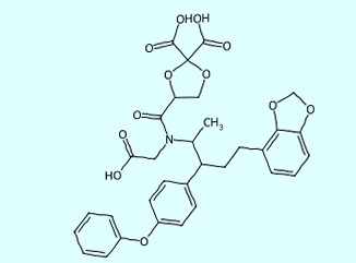 CC(C(CCc1cccc2c1OCO2)c1ccc(Oc2ccccc2)cc1)N(CC(=O)O)C(=O)C1COC(C(=O)O)(C(=O)O)O1